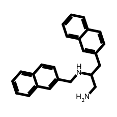 NCC(Cc1ccc2ccccc2c1)NCc1ccc2ccccc2c1